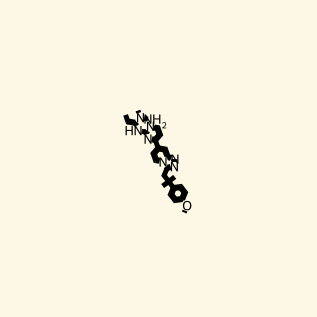 C/C=C(/Nc1nccc(-c2ccn3c(CC(C)(C)c4ccc(OC)cc4)nnc3c2)n1)N(C)N